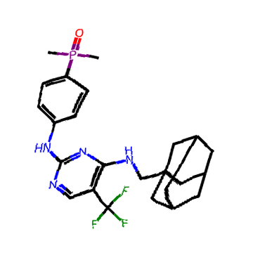 CP(C)(=O)c1ccc(Nc2ncc(C(F)(F)F)c(NCC34CC5CC(CC(C5)C3)C4)n2)cc1